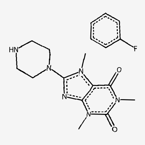 Cn1c(=O)c2c(nc(N3CCNCC3)n2C)n(C)c1=O.Fc1ccccc1